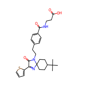 CC(C)(C)C1CCC2(CC1)N=C(c1cccs1)C(=O)N2CCc1ccc(C(=O)NCCC(=O)O)cc1